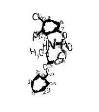 C[C@H](NP(=O)(Cl)Oc1ccc(Cl)c(F)c1)C(=O)OCc1ccccc1